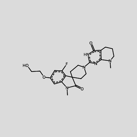 CN1CCCc2c1nc(N1CCC3(CC1)C(=O)N(C)c1cc(OCCO)cc(F)c13)[nH]c2=O